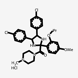 COc1ccc(C2(C(=O)N3CCN(C)CC3)NC(c3ccc(Cl)cc3)C(c3ccc(Cl)cc3)N2)c(OC(C)C)c1.Cl